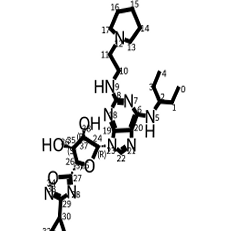 CCC(CC)Nc1nc(NCCN2CCCCC2)nc2c1ncn2[C@@H]1O[C@H](c2nc(C3CC3)no2)[C@@H](O)[C@H]1O